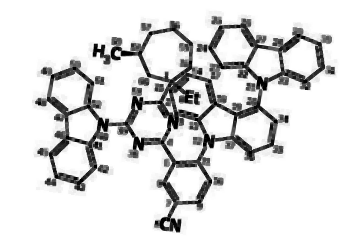 CCC1(c2nc(-c3cc(C#N)ccc3-n3c4ccccc4c4c(-n5c6ccccc6c6ccccc65)cccc43)nc(-n3c4ccccc4c4ccccc43)n2)CCCC[C@H](C)C1